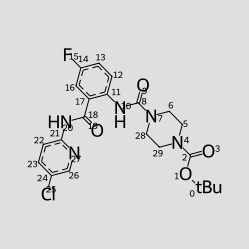 CC(C)(C)OC(=O)N1CCN(C(=O)Nc2ccc(F)cc2C(=O)Nc2ccc(Cl)cn2)CC1